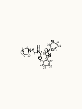 O=C(NCCN1CCOCC1)c1oc(-c2ccccc2)nc1-c1ccccc1